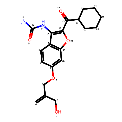 C=C(CO)COc1ccc2c(NC(N)=O)c(C(=O)C3CCCCC3)oc2c1